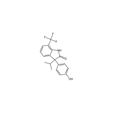 CC(C)C1(c2ccc(O)cc2)C(=O)Nc2c(C(F)(F)F)cccc21